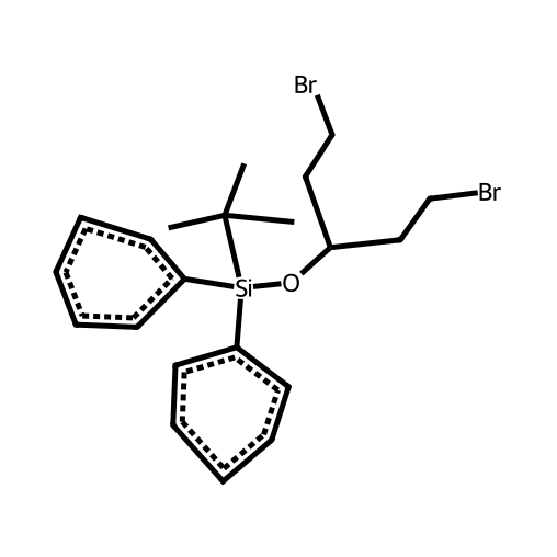 CC(C)(C)[Si](OC(CCBr)CCBr)(c1ccccc1)c1ccccc1